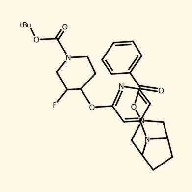 CC(C)(C)OC(=O)N1CCC(Oc2cc(N3C4CCC3CN(OC(=O)c3ccccc3)C4)ccn2)C(F)C1